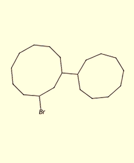 BrC1CCCCCCCC(C2CCCCCCCC2)C1